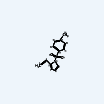 C=Cc1cccn1S(=O)(=O)c1ccc(C)cc1